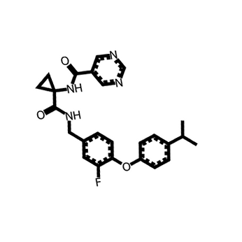 CC(C)c1ccc(Oc2ccc(CNC(=O)C3(NC(=O)c4cncnc4)CC3)cc2F)cc1